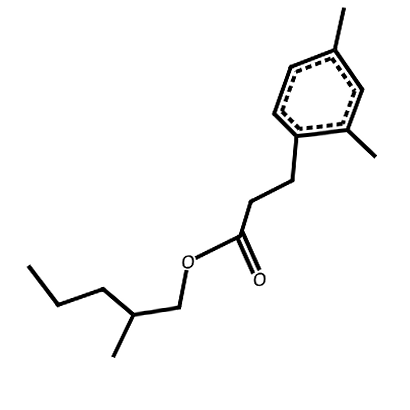 CCCC(C)COC(=O)CCc1ccc(C)cc1C